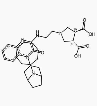 O=C(O)[C@@H]1CN(CCNc2nc3ccccc3n(C3CC4CCC(C3)N4C3CCCCCCC3)c2=O)C[C@H]1C(=O)O